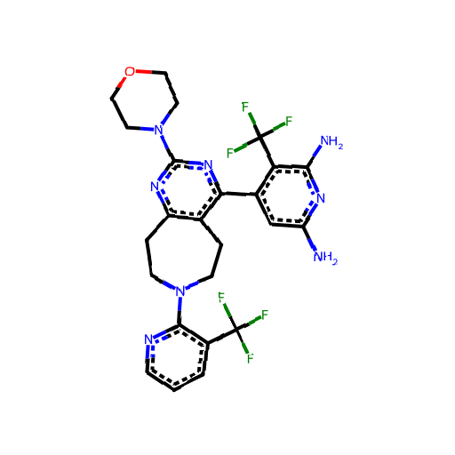 Nc1cc(-c2nc(N3CCOCC3)nc3c2CCN(c2ncccc2C(F)(F)F)CC3)c(C(F)(F)F)c(N)n1